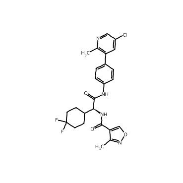 Cc1nocc1C(=O)N[C@H](C(=O)Nc1ccc(-c2cc(Cl)cnc2C)cc1)C1CCC(F)(F)CC1